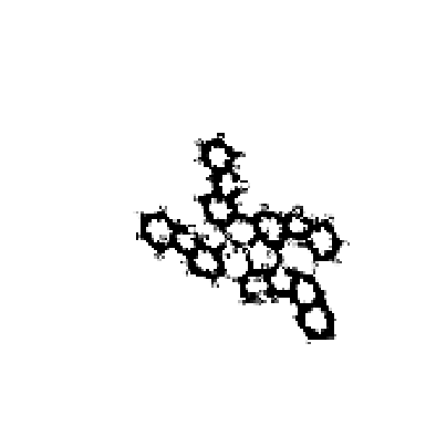 c1ccc2c(c1)ccc1c2c2cccc3c2n1-c1c2c(cc4oc5ccccc5c14)-c1c(ccc4c1oc1ccccc14)N(c1cccc4c1oc1ccccc14)B23